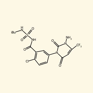 CCC(C)NS(=O)(=O)NC(=O)c1cc(-n2c(=O)cc(C(F)(F)F)n(N)c2=O)ccc1Cl